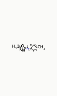 Cc1ccc(/C=C/c2nnc(C)o2)cc1